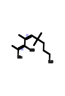 CC(=C/C(C)(C)CCCN=O)/C(N=O)=C(\C)C(C)(C)C